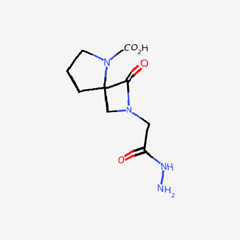 NNC(=O)CN1CC2(CCCN2C(=O)O)C1=O